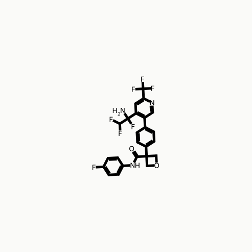 NC(F)(c1cc(C(F)(F)F)ncc1-c1ccc(C2(C(=O)Nc3ccc(F)cc3)COC2)cc1)C(F)F